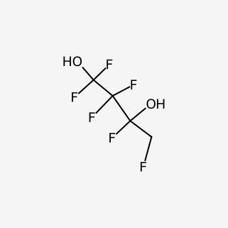 OC(F)(F)C(F)(F)C(O)(F)CF